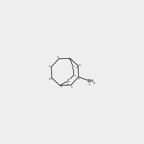 BC1CC2CCCC(CCC2)C1